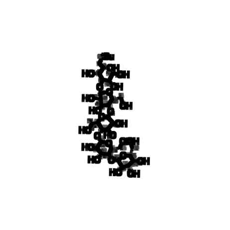 CC(C)(C)C[C@H](O)[C@@H](O)C(O[C@H]1O[C@H](CO)[C@@H](O[C@H]2O[C@H](CO)[C@@H](O[C@H]3O[C@H](CO)[C@@H](O[C@H]4O[C@H](CO)[C@@H](O)[C@H](O)[C@H]4O)[C@H](O)[C@H]3O)[C@H](O)[C@H]2O)[C@H](O)[C@H]1O)[C@H](O)CO